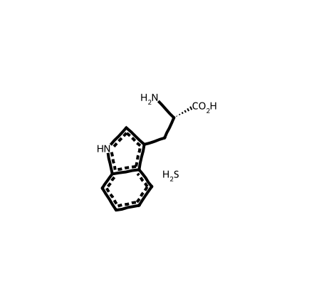 N[C@@H](Cc1c[nH]c2ccccc12)C(=O)O.S